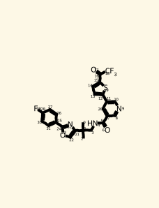 CC(C)(CNC(=O)c1cncc(-c2ccc(C(=O)C(F)(F)F)s2)c1)c1coc(-c2ccc(F)cc2)n1